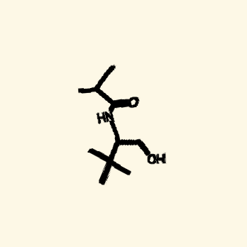 CC(C)C(=O)NC(CO)C(C)(C)C